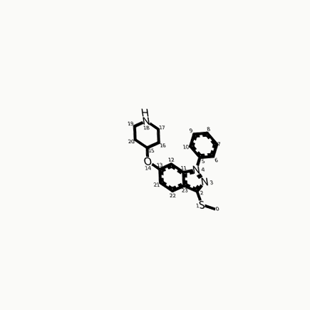 CSc1nn(-c2ccccc2)c2cc(OC3CCNCC3)ccc12